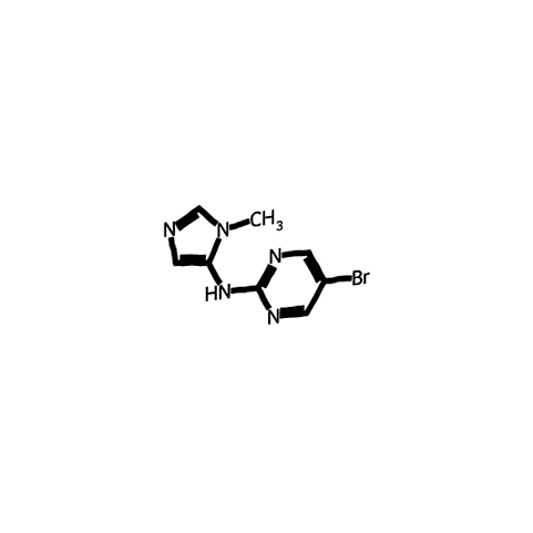 Cn1cncc1Nc1ncc(Br)cn1